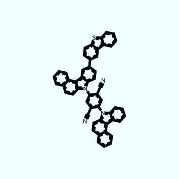 N#Cc1cc(-n2c3ccc(-c4ccc5sc6ccccc6c5c4)cc3c3c4ccccc4ccc32)c(C#N)cc1-n1c2ccccc2c2c3ccccc3ccc21